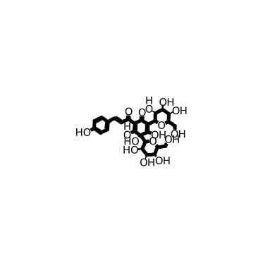 O=C(/C=C/c1ccc(O)cc1)C1=C(O)C(O)(C2OC(CO)[C@@H](O)[C@H](O)[C@H]2O)C(O)=C(C2OC(CO)[C@@H](O)[C@H](O)[C@H]2O)C1=O